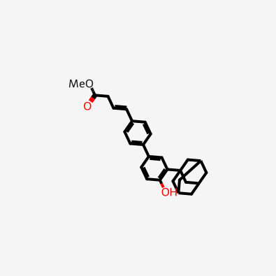 COC(=O)C/C=C/c1ccc(-c2ccc(O)c(C34CC5CC(CC(C5)C3)C4)c2)cc1